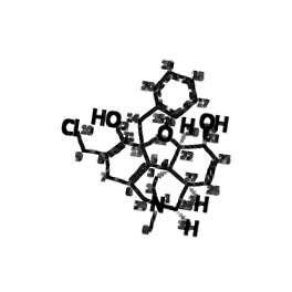 CN1CC[C@]23C4=C5CC(CCl)=C(O)C4(Cc4ccccc4)O[C@H]2[C@@H](O)C=C[C@H]3[C@H]1C5